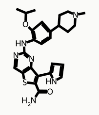 CC(C)Oc1cc(C2CCN(C)CC2)ccc1Nc1ncc2sc(C(N)=O)c(-c3ccc[nH]3)c2n1